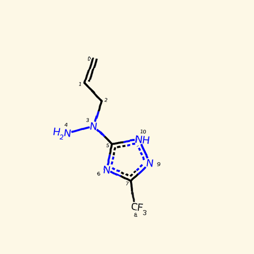 C=CCN(N)c1nc(C(F)(F)F)n[nH]1